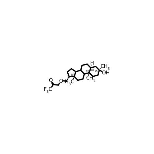 C[C@]1(O)CC[C@]2(C)C3CC[C@@]4(C)C(CC[C@@H]4COCC(=O)C(F)(F)F)C3CC[C@H]2C1